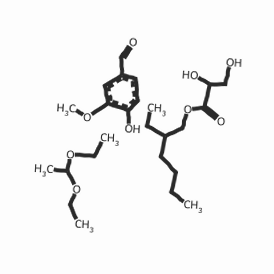 CCCCC(CC)COC(=O)C(O)CO.CCOC(C)OCC.COc1cc(C=O)ccc1O